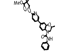 COC(=O)C1(COc2ccc(-c3ccc4c(c3)OC(C)CN4C(=O)Nc3ccccc3)cn2)CC1